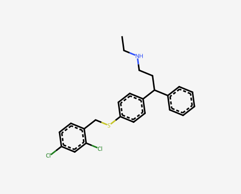 CCNCCC(c1ccccc1)c1ccc(SCc2ccc(Cl)cc2Cl)cc1